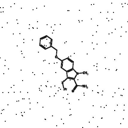 CC(C)Sc1c(C(N)=O)n(C)c2ccc(OCc3ccccc3)cc12